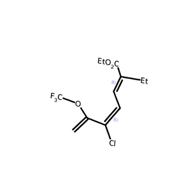 C=C(OC(F)(F)F)/C(Cl)=C\C=C(/CC)C(=O)OCC